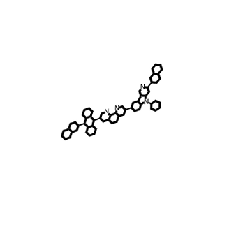 c1ccc(-n2c3ccc(-c4cnc5c(ccc6cc(-c7c8ccccc8c(-c8ccc9ccccc9c8)c8ccccc78)cnc65)c4)cc3c3cnc(-c4ccc5ccccc5c4)cc32)cc1